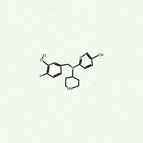 CCOc1cc(CN(c2ccc(C#N)cn2)C2CCNCC2)ccc1F